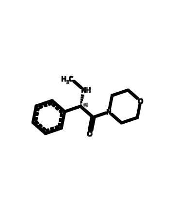 CN[C@H](C(=O)N1CCOCC1)c1ccccc1